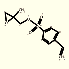 C=Cc1ccc(S(=O)(=O)OCC2(C)CO2)cc1